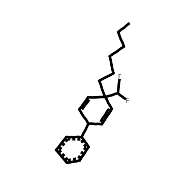 CCCCCCC1(C(F)F)C=CC(c2ccccc2)C=C1